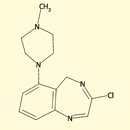 CN1CCN(c2cccc3c2CN=C(Cl)C=N3)CC1